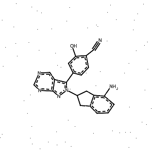 N#Cc1ccc(-c2c3cncnc3nn2C2Cc3cccc(N)c3C2)cc1O